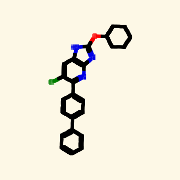 Clc1cc2[nH]c(OC3CCCCC3)nc2nc1-c1ccc(-c2ccccc2)cc1